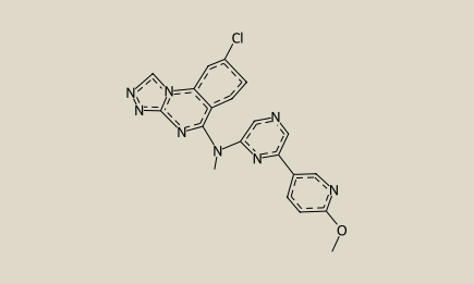 COc1ccc(-c2cncc(N(C)c3nc4nncn4c4cc(Cl)ccc34)n2)cn1